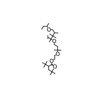 CCC(C)OCC(C)C(C)(C)C(C)(I)OCCC(C)(C)OCCOC(=O)C(CC(C)(C)C)C(C)(C)C